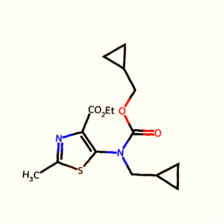 CCOC(=O)c1nc(C)sc1N(CC1CC1)C(=O)OCC1CC1